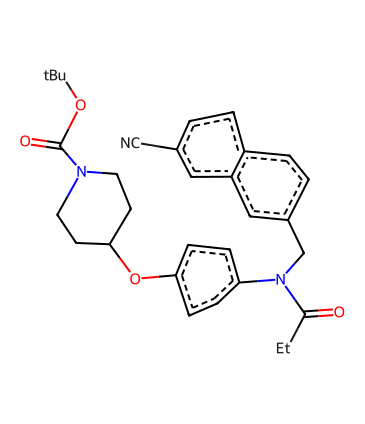 CCC(=O)N(Cc1ccc2ccc(C#N)cc2c1)c1ccc(OC2CCN(C(=O)OC(C)(C)C)CC2)cc1